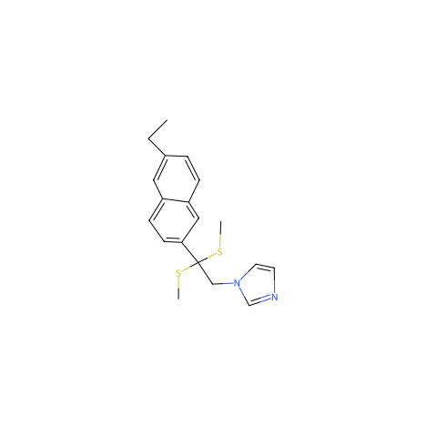 CCc1ccc2cc(C(Cn3ccnc3)(SC)SC)ccc2c1